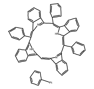 [Pt][c]1ccccc1.c1ccc(-c2c3nc(c(-c4ccccc4)c4[nH]c(c(-c5ccccc5)c5nc(cc6[nH]c2c2ccccc62)-c2ccccc2-5)c2ccccc42)-c2ccccc2-3)cc1